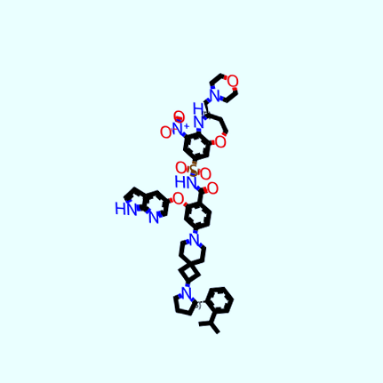 CC(C)c1ccccc1[C@@H]1CCCN1C1CC2(CCN(c3ccc(C(=O)NS(=O)(=O)c4cc5c(c([N+](=O)[O-])c4)N[C@@H](CN4CCOCC4)CCO5)c(Oc4cnc5[nH]ccc5c4)c3)CC2)C1